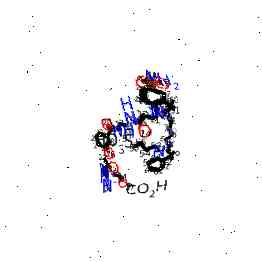 CC1(C)C(/C=C/C=C/C=C2\N(CCC(=O)NCCNC(=O)c3cccc(OCC(N=[N+]=[N-])OCCOCC(=O)O)c3)c3ccc(S(N)(=O)=O)cc3C2(C)C)=[N+](CCCCS(=O)(=O)O)c2ccccc21